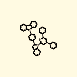 c1ccc(-c2cc(-c3ccccc3)nc(-n3c(-c4ccc(-n5c6ccccc6c6ccccc65)cc4)cc4ccccc43)c2)cc1